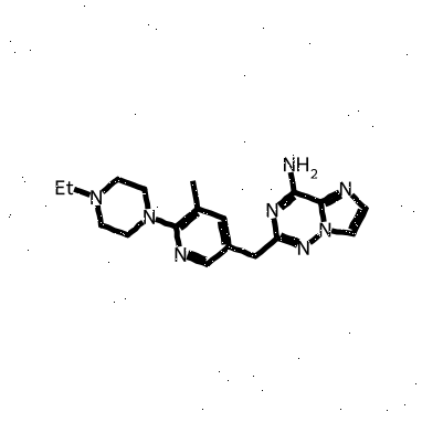 CCN1CCN(c2ncc(Cc3nc(N)c4nccn4n3)cc2C)CC1